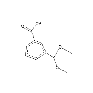 COC(OC)c1cccc(C(=O)O)c1